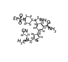 CCS(=O)(=O)N1CCC(C2CNc3c(C(N)=O)cc(-c4csc(CN(C)CCC#N)c4)cc32)CC1